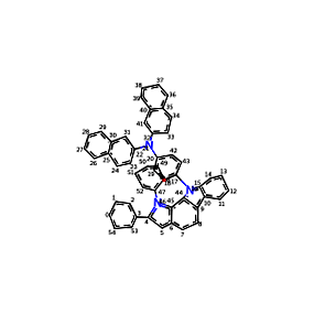 c1ccc(-c2cc3ccc4c5ccccc5n(-c5ccc(N(c6ccc7ccccc7c6)c6ccc7ccccc7c6)cc5)c4c3n2-c2ccccc2)cc1